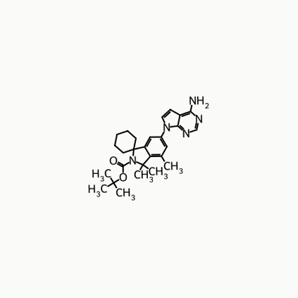 Cc1cc(-n2ccc3c(N)ncnc32)cc2c1C(C)(C)N(C(=O)OC(C)(C)C)C21CCCCC1